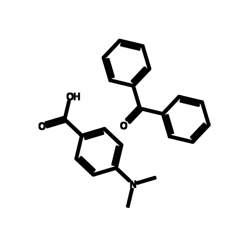 CN(C)c1ccc(C(=O)O)cc1.O=C(c1ccccc1)c1ccccc1